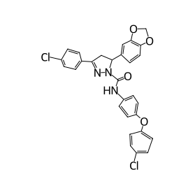 O=C(Nc1ccc(Oc2ccc(Cl)cc2)cc1)N1N=C(c2ccc(Cl)cc2)CC1c1ccc2c(c1)OCO2